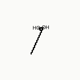 CCCCCC=CCC=CCCCCCCCCCc1cc(O)cc(O)c1